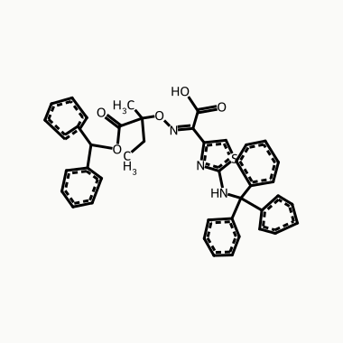 CCC(C)(ON=C(C(=O)O)c1csc(NC(c2ccccc2)(c2ccccc2)c2ccccc2)n1)C(=O)OC(c1ccccc1)c1ccccc1